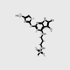 CCc1[nH]c2nc(Sc3nc(C(=O)O)cs3)nc(NCCCNS(C)(=O)=O)c2c1Cl